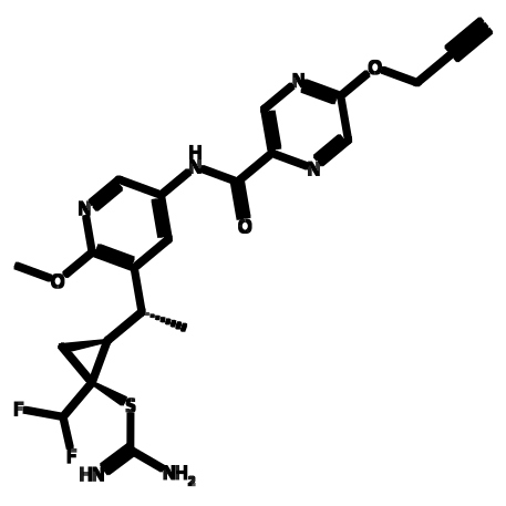 C#CCOc1cnc(C(=O)Nc2cnc(OC)c([C@H](C)[C@@H]3C[C@@]3(SC(=N)N)C(F)F)c2)cn1